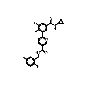 Cc1c(F)cc(C(=O)NC2CC2)cc1-c1ccc(C(=O)NCc2cc(F)ccc2F)cn1